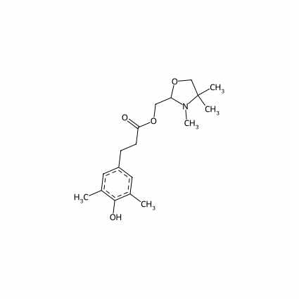 Cc1cc(CCC(=O)OCC2OCC(C)(C)N2C)cc(C)c1O